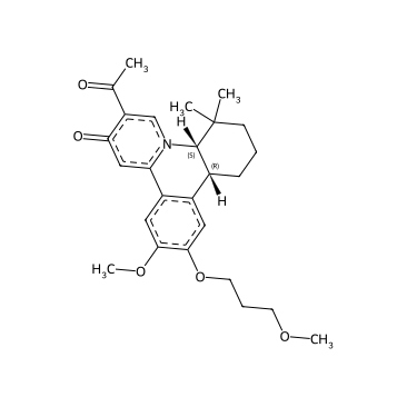 COCCCOc1cc2c(cc1OC)-c1cc(=O)c(C(C)=O)cn1[C@H]1[C@@H]2CCCC1(C)C